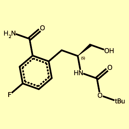 CC(C)(C)OC(=O)N[C@H](CO)Cc1ccc(F)cc1C(N)=O